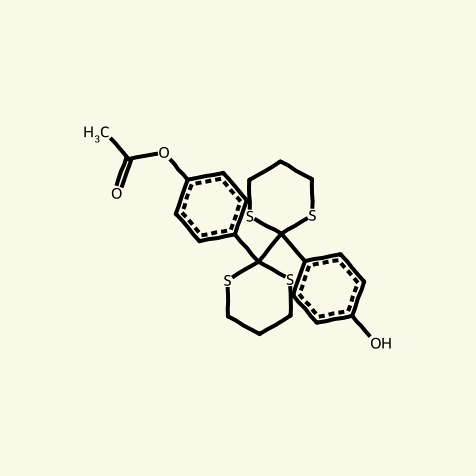 CC(=O)Oc1ccc(C2(C3(c4ccc(O)cc4)SCCCS3)SCCCS2)cc1